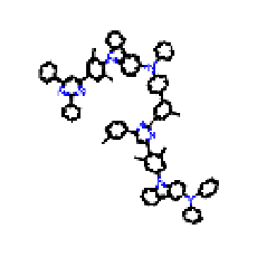 Cc1cccc(-c2cc(-c3c(C)cc(-n4c5ccccc5c5cc(N(c6ccccc6)c6ccccc6)ccc54)cc3C)nc(-c3cc(C)cc(-c4ccc(N(c5ccccc5)c5ccc6c(c5)c5ccccc5n6-c5c(C)cc(-c6cc(-c7ccccc7)nc(-c7ccccc7)n6)cc5C)cc4)c3)n2)c1